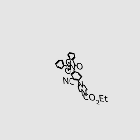 CCOC(=O)N1CCN(c2ccc(N(C(=O)c3ccccc3)S(=O)(=O)c3ccccc3)cc2C#N)CC1